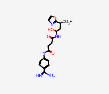 N=C(N)c1ccc(NC(=O)CCC(=O)NC(O)CC(C(=O)O)c2nccs2)cc1